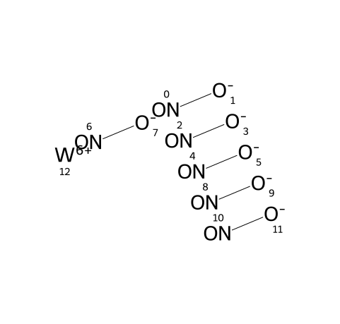 O=N[O-].O=N[O-].O=N[O-].O=N[O-].O=N[O-].O=N[O-].[W+6]